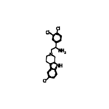 NC(CN1CCc2c([nH]c3ccc(Cl)cc23)C1)c1ccc(Cl)c(Cl)c1